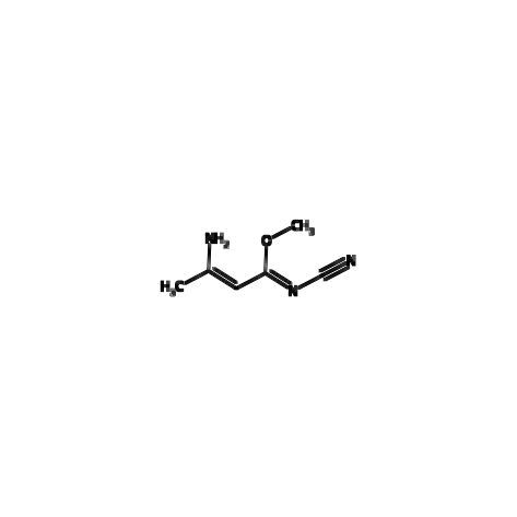 COC(/C=C(/C)N)=N\C#N